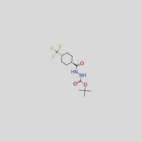 CC(C)(C)OC(=O)NNC(=O)[C@H]1CC[C@H](C(F)(F)F)CC1